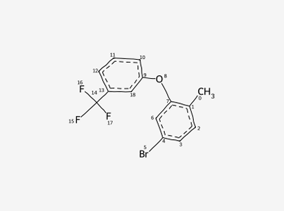 Cc1ccc(Br)cc1Oc1cccc(C(F)(F)F)c1